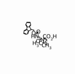 CC1(C)SC[C@@H](C(=O)O)N1C(=O)CNC(=O)OCC1c2ccccc2-c2ccccc21